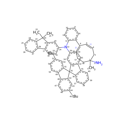 CC1(N)C/C=C\C(c2ccccc2N(c2ccc3c(c2)C(C)(C)c2ccccc2-3)c2ccc3c(c2)C2(c4ccccc4-3)c3cc(C(C)(C)C)ccc3-c3ccc(C(C)(C)C)cc32)=C/CC1